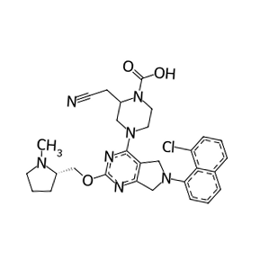 CN1CCC[C@H]1COc1nc2c(c(N3CCN(C(=O)O)C(CC#N)C3)n1)CN(c1cccc3cccc(Cl)c13)C2